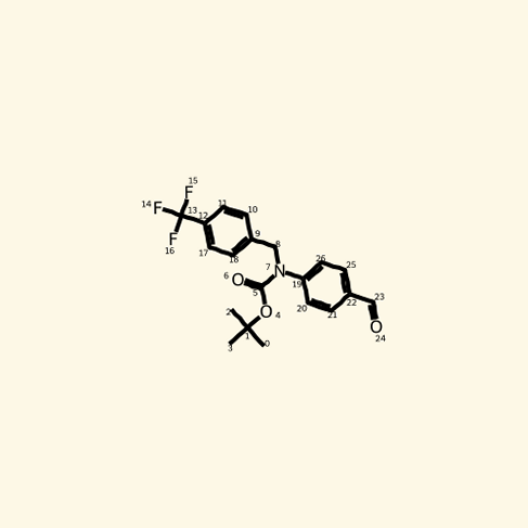 CC(C)(C)OC(=O)N(Cc1ccc(C(F)(F)F)cc1)c1ccc(C=O)cc1